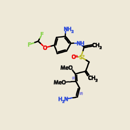 C=C(C[S+]([O-])C(=C)Nc1ccc(OC(F)F)cc1N)/C(OC)=C(\C=C/N)OC